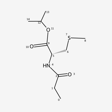 CCC(=O)N[C@@H](CSC)C(=O)OC(C)C